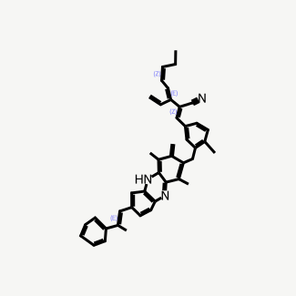 C=CC(=C\C=C/CC)/C(C#N)=C/c1ccc(C)c(Cc2c(C)c3c(c(C)c2=C)Nc2cc(/C=C(\C)c4ccccc4)ccc2N=3)c1